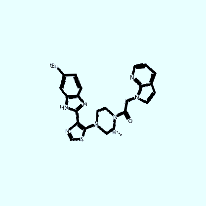 C[C@@H]1CN(c2scnc2-c2nc3ccc(C(C)(C)C)cc3[nH]2)CCN1C(=O)Cn1ccc2cccnc21